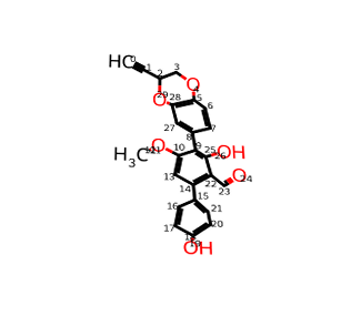 C#CC1COc2ccc(-c3c(OC)cc(-c4ccc(O)cc4)c(C=O)c3O)cc2O1